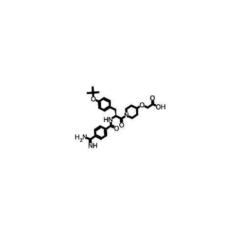 CC(C)(C)Oc1ccc(C[C@H](NC(=O)c2ccc(C(=N)N)cc2)C(=O)N2CCC(OCC(=O)O)CC2)cc1